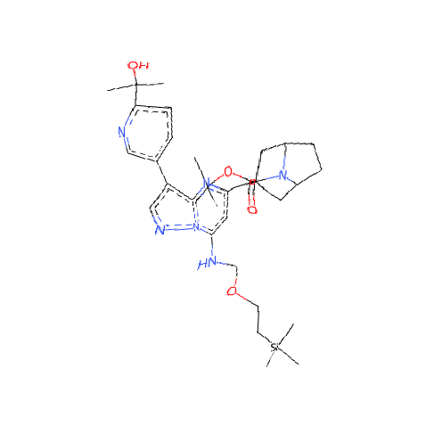 CC(C)(C)OC(=O)N1C2CCC1CC(c1cc(NCOCC[Si](C)(C)C)n3ncc(-c4ccc(C(C)(C)O)nc4)c3n1)C2